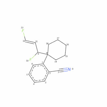 N#Cc1ccccc1C1(C(F)C=CF)CCCCC1